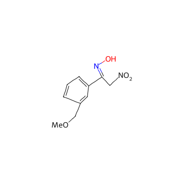 COCc1cccc(C(C[N+](=O)[O-])=NO)c1